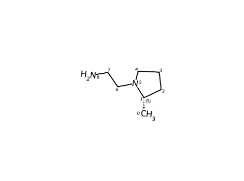 C[C@H]1CCCN1CCN